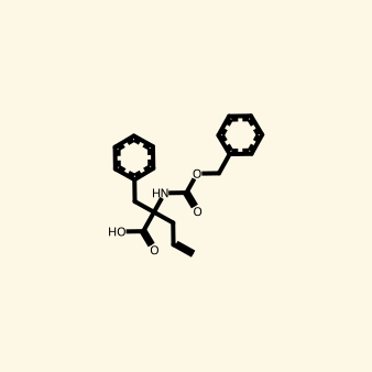 C=CCC(Cc1ccccc1)(NC(=O)OCc1ccccc1)C(=O)O